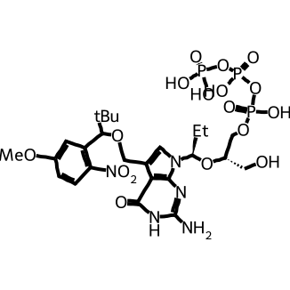 CC[C@@H](O[C@@H](CO)COP(=O)(O)OP(=O)(O)OP(=O)(O)O)n1cc(COC(c2cc(OC)ccc2[N+](=O)[O-])C(C)(C)C)c2c(=O)[nH]c(N)nc21